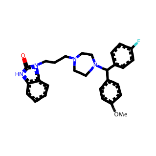 COc1ccc(C(c2ccc(F)cc2)N2CCN(CCCn3c(=O)[nH]c4ccccc43)CC2)cc1